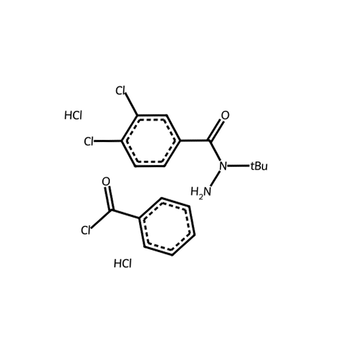 CC(C)(C)N(N)C(=O)c1ccc(Cl)c(Cl)c1.Cl.Cl.O=C(Cl)c1ccccc1